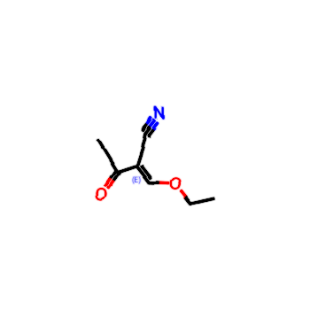 CCO/C=C(\C#N)C(C)=O